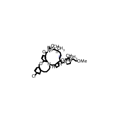 COCCN1CCN(C[C@]2(OC)/C=C/C[C@H](C)[C@@H](C)S(=O)(=O)NC(=O)c3ccc4c(c3)N(CCCCc3cc(Cl)ccc3CO4)C[C@@H]3CC[C@H]32)CC1(C)C